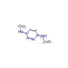 O=CNN1C=CN(NC=O)N=N1